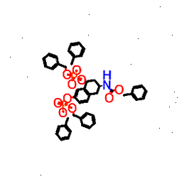 O=C(N[C@H]1CCc2c(ccc(OP(=O)(OCc3ccccc3)OCc3ccccc3)c2OP(=O)(OCc2ccccc2)OCc2ccccc2)C1)OCc1ccccc1